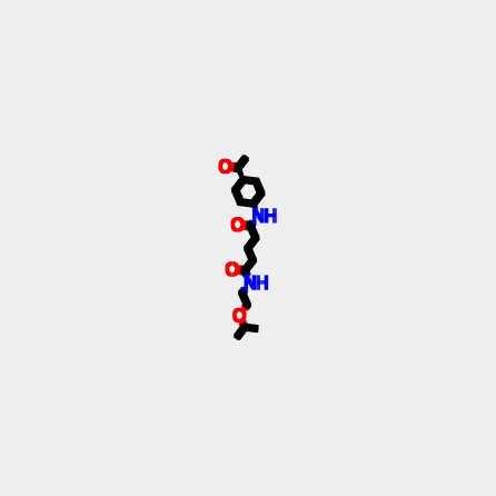 CC(=O)[C@H]1CC[C@@H](NC(=O)CCCC(=O)NCCOC(C)C)CC1